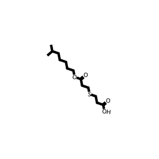 CC(C)CCCCCOC(=O)CCSCCC(=O)O